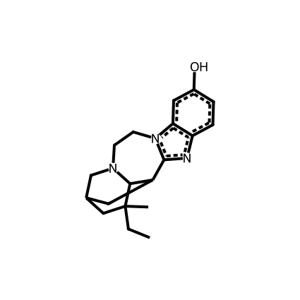 CCC1(C)CC2CC3c4nc5ccc(O)cc5n4CCN(C2)C31